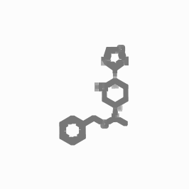 CN(OCc1ccccc1)[C@@H]1CC[C@@H](c2ncon2)NC1